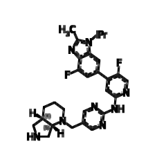 Cc1nc2c(F)cc(-c3cc(Nc4ncc(CN5CCC[C@H]6CNC[C@H]65)cn4)ncc3F)cc2n1C(C)C